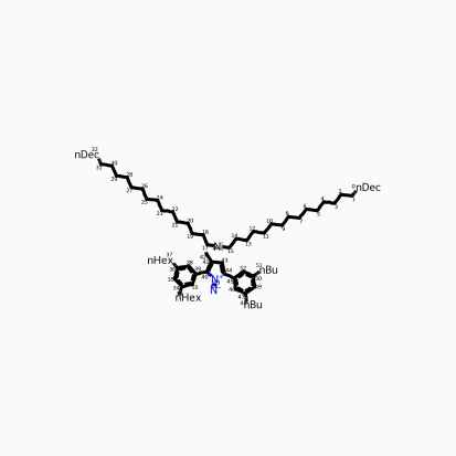 CCCCCCCCCCCCCCCCCCCCCCCC[CH2][Ni][CH2]CCCCCCCCCCCCCCCCCCCCCCCC.CCCCCCc1cc(CCCCCC)cc(C2=C(C)C=C(c3cc(CCCC)cc(CCCC)c3)[N+]2=[N-])c1